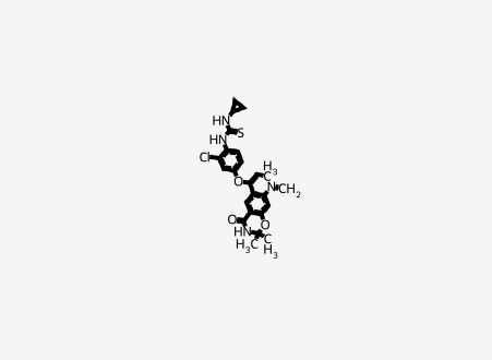 C=Nc1cc2c(cc1/C(=C\C)Oc1ccc(NC(=S)NC3CC3)c(Cl)c1)C(=O)NC(C)(C)O2